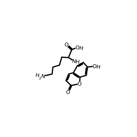 NCCCCC(N)C(=O)O.O=c1ccc2ccc(O)cc2o1